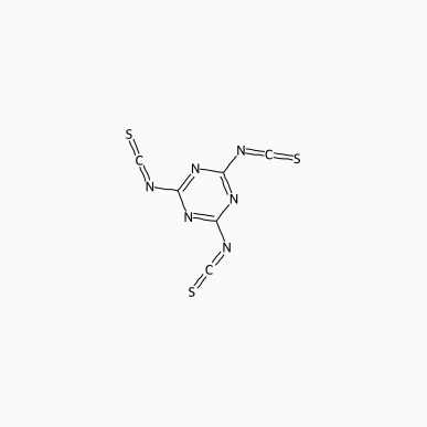 S=C=Nc1nc(N=C=S)nc(N=C=S)n1